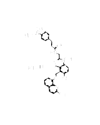 Cc1ccc2cccc(OCc3c(Cl)ccc(N(C)C(=O)CNC(=O)/C=C/c4ccc(N(C)C)cc4)c3Cl)c2n1.Cl.Cl